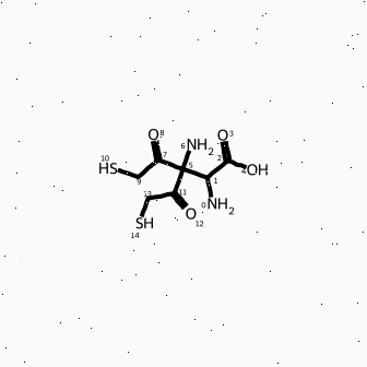 NC(C(=O)O)C(N)(C(=O)CS)C(=O)CS